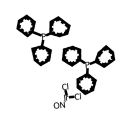 O=[N][Ir]([Cl])[Cl].c1ccc(P(c2ccccc2)c2ccccc2)cc1.c1ccc(P(c2ccccc2)c2ccccc2)cc1